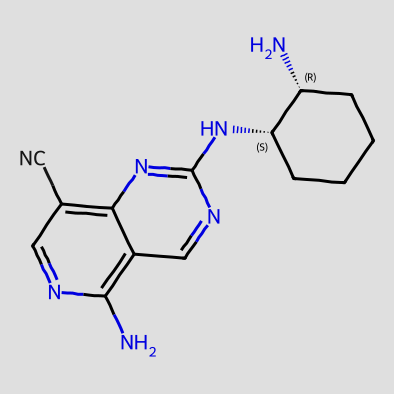 N#Cc1cnc(N)c2cnc(N[C@H]3CCCC[C@H]3N)nc12